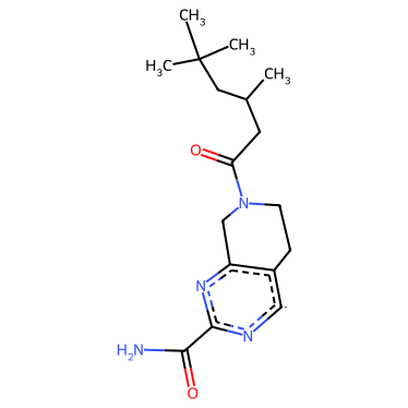 CC(CC(=O)N1CCc2[c]nc(C(N)=O)nc2C1)CC(C)(C)C